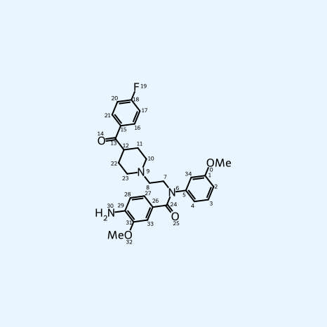 COc1cccc(N(CCN2CCC(C(=O)c3ccc(F)cc3)CC2)C(=O)c2ccc(N)c(OC)c2)c1